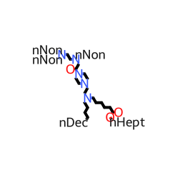 CCCCCCCCCCCCCCN(CCCCCC(=O)OCCCCCCC)CCN1CCN(C(=O)CN(CCCCCCCCC)CCN(CCCCCCCCC)CCCCCCCCC)CC1